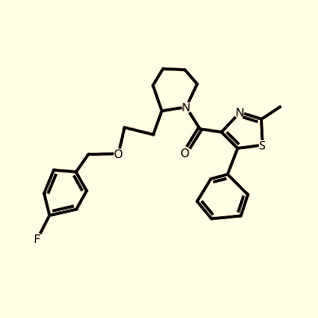 Cc1nc(C(=O)N2CCCCC2CCOCc2ccc(F)cc2)c(-c2ccccc2)s1